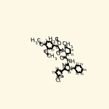 COc1ccc([C@H](OC)C(=O)N2[C@H](C)CC[C@H]2C(=O)Nc2nc(-c3ccc(Cl)s3)cn2-c2ccccc2)cc1OC